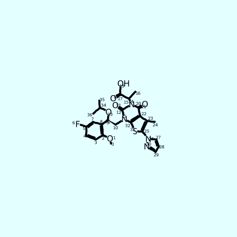 COc1ccc(F)cc1[C@H](Cn1c(=O)n(C(C)C(=O)O)c(=O)c2c(C)c(-n3cccn3)sc21)OC(C)C